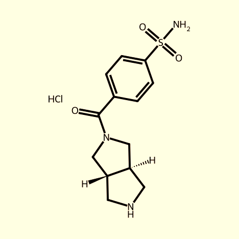 Cl.NS(=O)(=O)c1ccc(C(=O)N2C[C@H]3CNC[C@@H]3C2)cc1